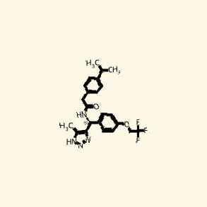 Cc1[nH]nnc1[C@@H](NC(=O)Cc1ccc(C(C)C)cc1)c1ccc(OCC(F)(F)F)cc1